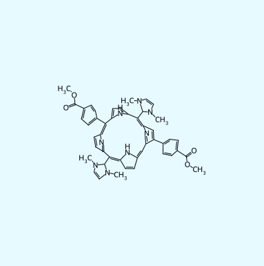 COC(=O)c1ccc(C2=Cc3nc2cc2ccc([nH]2)c(C2N(C)C=CN2C)c2nc(c(-c4ccc(C(=O)OC)cc4)c4ccc([nH]4)c3C3N(C)C=CN3C)C=C2)cc1